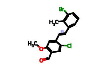 COc1cc(/C=C/c2cccc(Br)c2C)c(Cl)cc1C=O